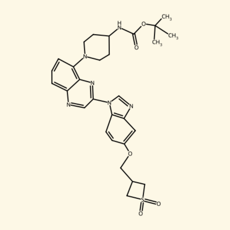 CC(C)(C)OC(=O)NC1CCN(c2cccc3ncc(-n4cnc5cc(OCC6CS(=O)(=O)C6)ccc54)nc23)CC1